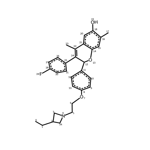 CCC1CN(CCOc2ccc(C3Oc4cc(C)c(O)cc4C(C)=C3c3ccc(F)cc3)cc2)C1